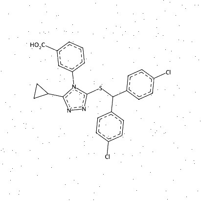 O=C(O)c1cccc(-n2c(SC(c3ccc(Cl)cc3)c3ccc(Cl)cc3)nnc2C2CC2)c1